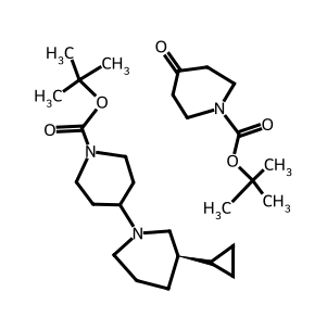 CC(C)(C)OC(=O)N1CCC(=O)CC1.CC(C)(C)OC(=O)N1CCC(N2CCC[C@H](C3CC3)C2)CC1